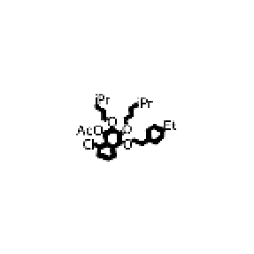 CCc1ccc(CCOc2c(OCCCC(C)C)c(OCCCC(C)C)c(OC(C)=O)c3c(Cl)cccc23)cc1